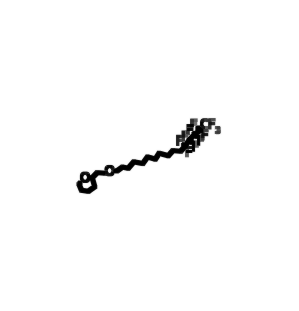 FC(F)(F)C(F)(F)C(F)(F)C(F)(F)C(F)(F)CCCCCCCCCCCOCCC1CCCCO1